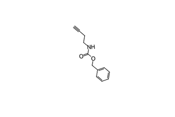 C#CCCNC(=O)OCc1ccccc1